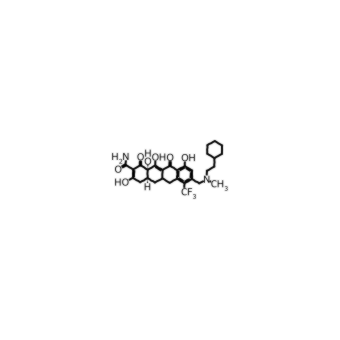 CN(CCC1CCCCC1)Cc1cc(O)c2c(c1C(F)(F)F)CC1C[C@H]3CC(O)=C(C(N)=O)C(=O)[C@@]3(O)C(O)=C1C2=O